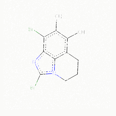 Cc1c(C)c2c3c(nc(Br)n3CCC2)c1Br